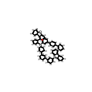 c1ccc(-c2ccc(-c3cccc(N(c4ccc(-c5cccc(-c6cccc(-n7c8ccccc8c8ccccc87)c6)c5)cc4)c4ccccc4-c4cccc5oc6ccccc6c45)c3)cc2)cc1